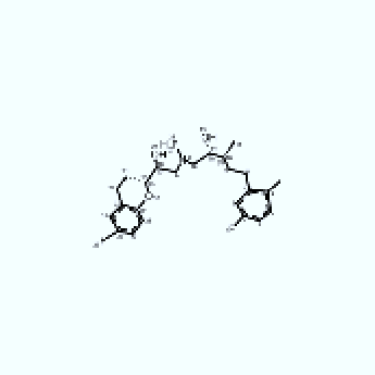 Cc1ccc(F)cc1CC[C@H](C)[C@@H](O)CN(P)C[C@H](O)[C@H]1CCc2cc(F)ccc2O1